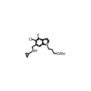 COCCCn1ccc2c(F)c(Cl)c(CNC3CC3)cc21